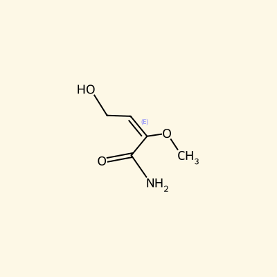 CO/C(=C/CO)C(N)=O